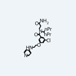 CCCC(CCC)N(CCC(N)=O)C(=O)c1cc(Cl)cc(OCCNc2ccncc2)c1